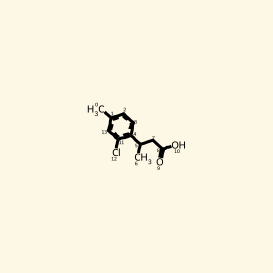 Cc1ccc(C(C)CC(=O)O)c(Cl)c1